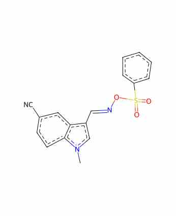 Cn1cc(C=NOS(=O)(=O)c2ccccc2)c2cc(C#N)ccc21